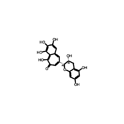 O=c1cc([C@H]2Oc3cc(O)cc(O)c3C[C@H]2O)cc2cc(O)c(O)c(O)c2c1O